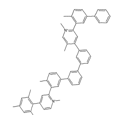 Cc1cc(C)c(-c2cc[n+](C)c(-c3cc(-c4cccc(-c5cccc(-c6cc(-c7cc(-c8ccccc8)ccc7C)[n+](C)cc6C)c5)c4)ccc3C)c2)c(C)c1